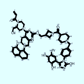 C=CC(=O)N1CCN(c2nc(OCC3CN(C(=O)C4CCN(Cc5ccc(-n6c(O)nnc6-c6cc(C(C)C)c(O)cc6O)cc5)CC4)C3)nc3c2CCN(c2cccc4cccc(Cl)c24)C3)CC1CC#N